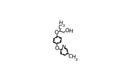 Cc1ccc(Oc2ccc(OC(C)CO)cc2)nc1